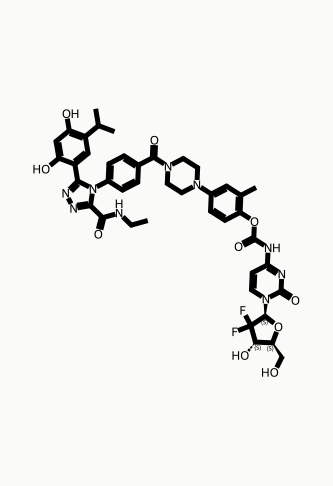 CCNC(=O)c1nnc(-c2cc(C(C)C)c(O)cc2O)n1-c1ccc(C(=O)N2CCN(c3ccc(OC(=O)Nc4ccn([C@H]5O[C@@H](CO)[C@H](O)C5(F)F)c(=O)n4)c(C)c3)CC2)cc1